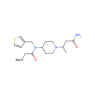 COCC(=O)N(Cc1ccsc1)C1CCN(C(C)CC(N)=O)CC1